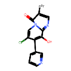 CCCc1cnc2c(O)c(-c3cccnc3)c(Cl)cn2c1=O